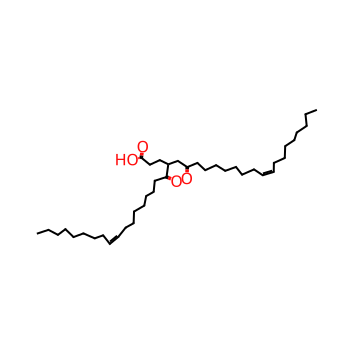 CCCCCCCC/C=C\CCCCCCCC(=O)CC(CCC(=O)O)C(=O)CCCCCCC/C=C\CCCCCCCC